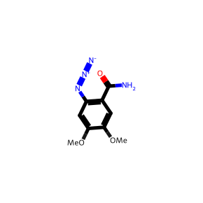 COc1cc(N=[N+]=[N-])c(C(N)=O)cc1OC